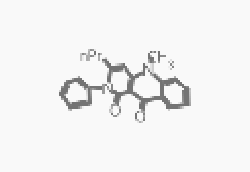 CCCc1cc2c(c(=O)c3ccccc3n2C)c(=O)n1-c1ccccc1